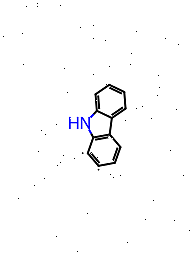 [c]1[c]c2[nH]c3ccccc3c2cc1